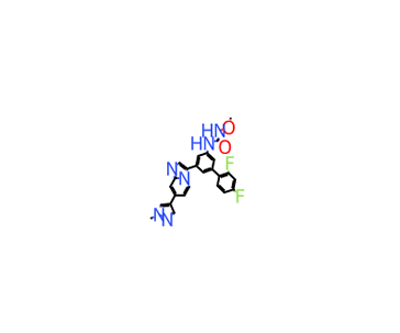 CONC(=O)Nc1cc(-c2ccc(F)cc2F)cc(-c2cnc3cc(-c4cnn(C)c4)ccn23)c1